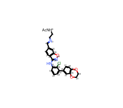 CC(=O)NCCN=Cc1ccc2c(Nc3cccc(-c4ccc5c(c4)OCCO5)c3Cl)noc2c1